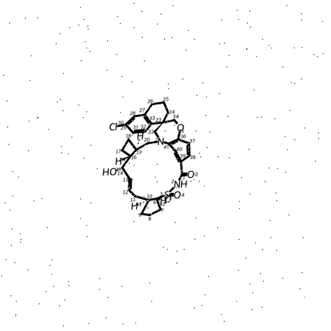 O=C1NS(=O)(=O)[C@@H]2CCC[C@H]2C/C=C/[C@H](O)[C@@H]2CC[C@H]2CN2C[C@@]3(CCCc4cc(Cl)ccc43)COc3ccc1cc32